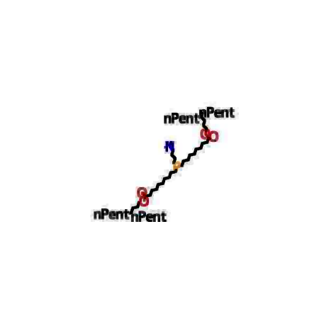 CCCCCC(CCCCC)CCCOC(=O)CCCCCCCCCP(CCCCCCCCCC(=O)OCCCC(CCCCC)CCCCC)CCCCN(C)C